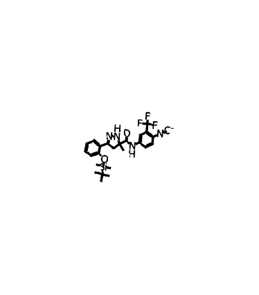 [C-]#[N+]c1ccc(NC(=O)C2(C)CC(c3ccccc3O[Si](C)(C)C(C)(C)C)=NN2)cc1C(F)(F)F